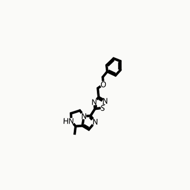 CC1NCCn2c1cnc2-c1nc(COCc2ccccc2)ns1